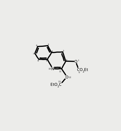 CCOC(=O)Oc1cc2ccccc2nc1OC(=O)OCC